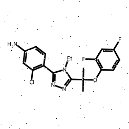 CCn1c(-c2ccc(N)cc2Cl)nnc1C(C)(C)Oc1ccc(F)cc1F